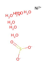 O.O.O.O.O.O.O.O=S([O-])[O-].[Ni+2]